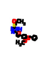 COc1cc(-c2ccc(-c3nnc(SCC(C)=O)[nH]3)o2)ccc1OCc1ccccc1